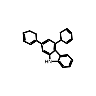 C1=CCCC(c2cc(C3C=CC=CC3)c3c(c2)[nH]c2ccccc23)=C1